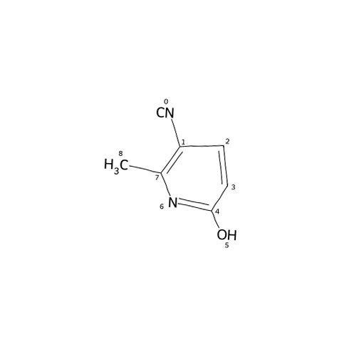 [C-]#[N+]c1ccc(O)nc1C